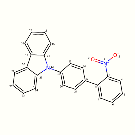 O=[N+]([O-])c1ccccc1-c1ccc(-n2c3ccccc3c3ccccc32)cc1